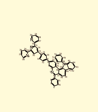 c1ccc(-c2nc3cc(-c4ccc(-c5cc(-c6ccccn6)nc(-c6ccccn6)c5)cc4)ccc3c3c2ccc2c4ccccc4n(-c4ccccc4)c23)cc1